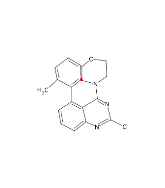 Cc1ccccc1-c1cccc2nc(Cl)nc(N3CCOCC3)c12